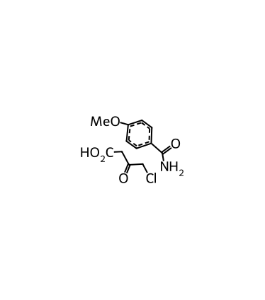 COc1ccc(C(N)=O)cc1.O=C(O)CC(=O)CCl